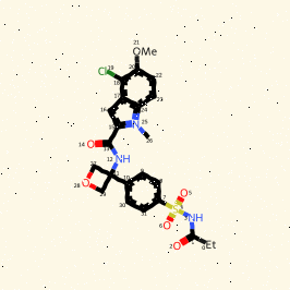 CCC(=O)NS(=O)(=O)c1ccc(C2(NC(=O)c3cc4c(Cl)c(OC)ccc4n3C)COC2)cc1